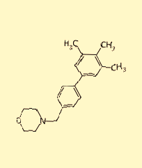 Cc1cc(-c2ccc(CN3CCOCC3)cc2)cc(C)c1C